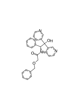 O=C(COCc1ccccc1)N[C@@H](c1ccccc1)C(O)(c1cccnc1)c1cccnc1